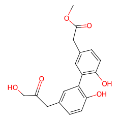 COC(=O)Cc1ccc(O)c(-c2cc(CC(=O)CO)ccc2O)c1